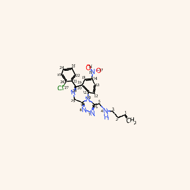 C=CCCNCc1nnc2n1-c1ccc([N+](=O)[O-])cc1C(c1ccccc1Cl)=NC2